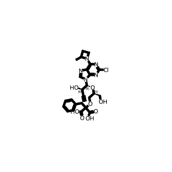 C#C[C@@H](O)[C@@H](O[C@@H](CO)COC(Cc1ccccc1)(C(=O)O)C(=O)O)n1cnc2c(N3CCC3C)nc(Cl)nc21